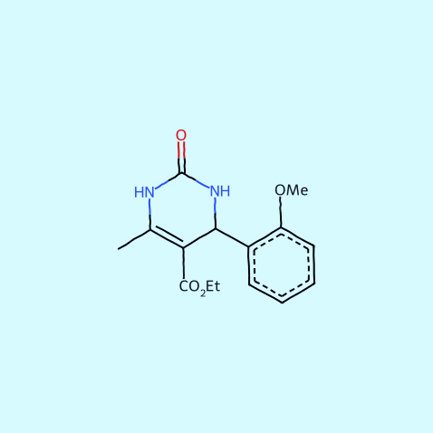 CCOC(=O)C1=C(C)NC(=O)NC1c1ccccc1OC